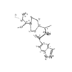 CC(NC(=O)c1cc2cn[nH]c2cn1)C1CCN(C(=O)[C@H](C)N)CC1